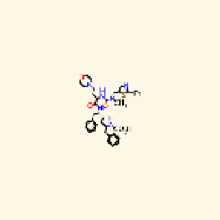 CC(C)c1ncc(CN(C)C(=O)NC(CCN2CCOCC2)C(=O)N[C@H](CCC(Cc2ccccc2)NC(=O)O)Cc2ccccc2)s1